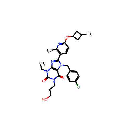 CCn1c(=O)n(CCCO)c(=O)c2c1nc(-c1ccc(OC3CC(C)C3)nc1C)n2Cc1ccc(Cl)cc1